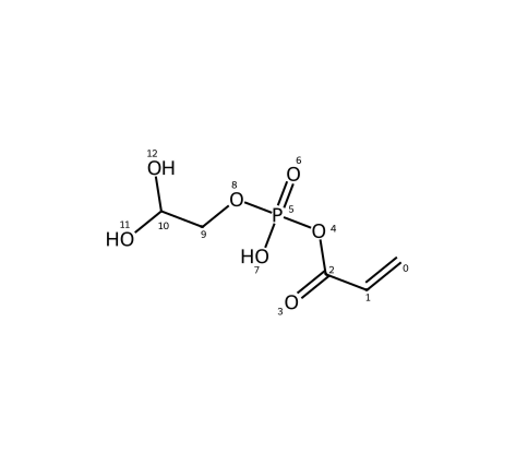 C=CC(=O)OP(=O)(O)OCC(O)O